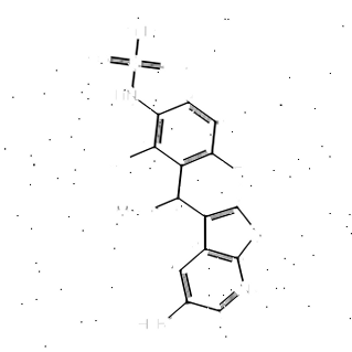 Bc1cnc2[nH]cc(C(OC)c3c(F)ccc(NS(=O)(=O)CCC)c3F)c2c1